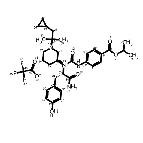 CC(C)OC(=O)c1ccc(NC(=O)/[N+](=C2/CCCN(C(C)(C)CC3CC3)C2)[C@@H](Cc2ccc(O)cc2)C(N)=O)cc1.O=C([O-])C(F)(F)F